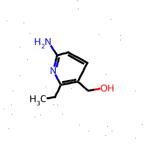 CCc1nc(N)ccc1CO